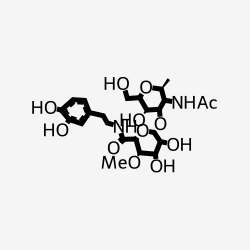 CO[C@@H]1C(C(=O)NCCc2ccc(O)c(O)c2)O[C@@H](OC2C(NC(C)=O)[C@H](C)OC(CO)[C@H]2O)C(O)C1O